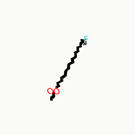 CC=CC(=O)OCCCCCCCCCCCCCCCCC[Si](C)(C)F